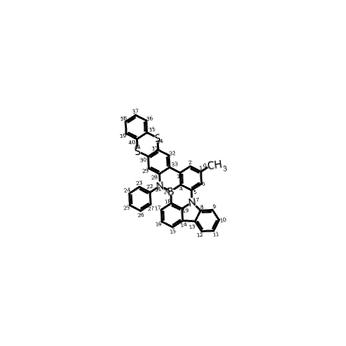 Cc1cc2c3c(c1)-n1c4ccccc4c4cccc(c41)B3N(c1ccccc1)c1cc3c(cc1-2)Sc1ccccc1S3